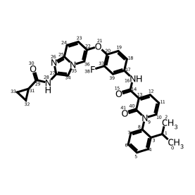 CC(C)c1ccccc1-n1cccc(C(=O)Nc2ccc(Oc3ccc4nc(NC(=O)C5CC5)cn4c3)c(F)c2)c1=O